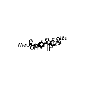 COC(=O)C(O)COc1ccc(C(=O)NC2CCN(C(=O)OC(C)(C)C)CC2)cc1